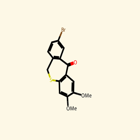 COc1cc2c(cc1OC)C(=O)c1cc(Br)ccc1CS2